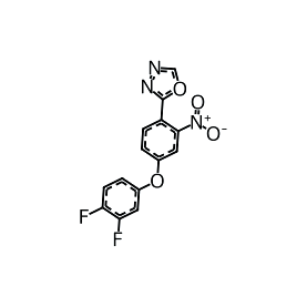 O=[N+]([O-])c1cc(Oc2ccc(F)c(F)c2)ccc1-c1nnco1